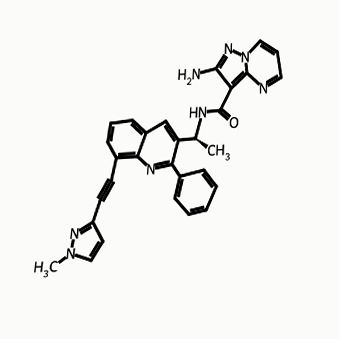 C[C@H](NC(=O)c1c(N)nn2cccnc12)c1cc2cccc(C#Cc3ccn(C)n3)c2nc1-c1ccccc1